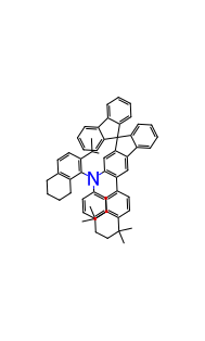 CC(C)c1ccc2c(c1N(c1ccccc1)c1cc3c(cc1-c1ccc4c(c1)C(C)(C)CCC4(C)C)-c1ccccc1C31c3ccccc3-c3ccccc31)CCCC2